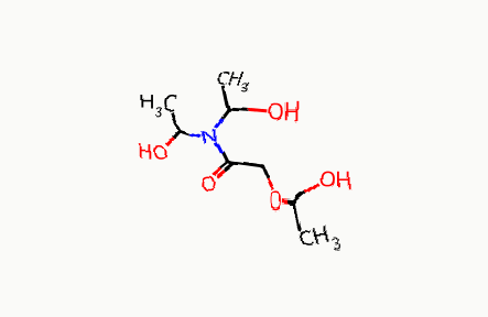 CC(O)OCC(=O)N(C(C)O)C(C)O